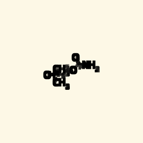 CP(C)(=O)CCOC(N)=O